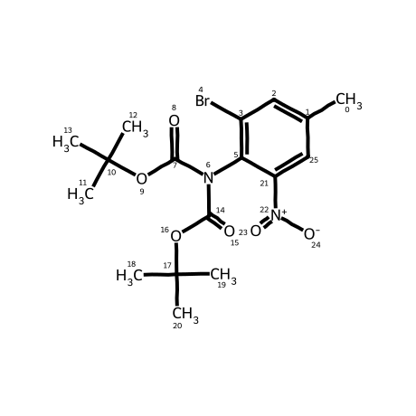 Cc1cc(Br)c(N(C(=O)OC(C)(C)C)C(=O)OC(C)(C)C)c([N+](=O)[O-])c1